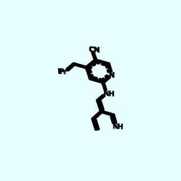 C=C/C(C=N)=C/Nc1cc(CC(C)C)c(C#N)cn1